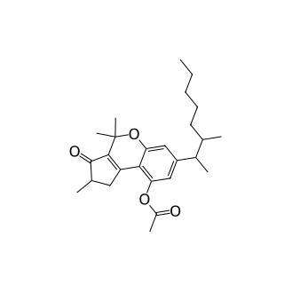 CCCCCC(C)C(C)c1cc(OC(C)=O)c2c(c1)OC(C)(C)C1=C2CC(C)C1=O